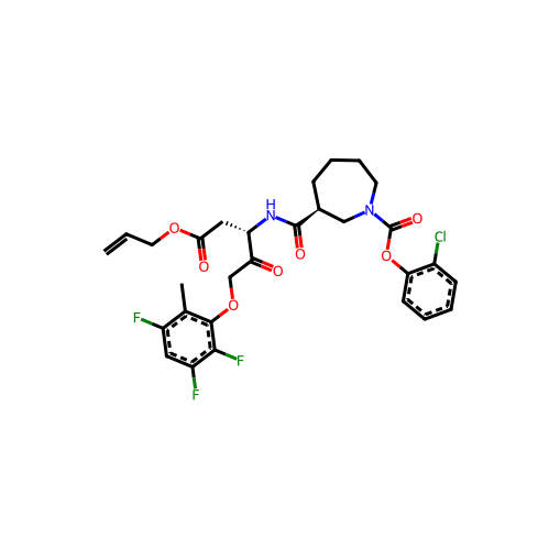 C=CCOC(=O)C[C@H](NC(=O)[C@H]1CCCCN(C(=O)Oc2ccccc2Cl)C1)C(=O)COc1c(C)c(F)cc(F)c1F